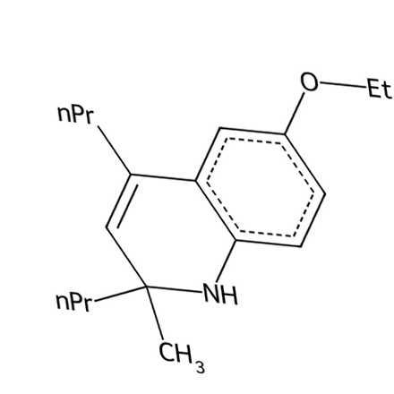 CCCC1=CC(C)(CCC)Nc2ccc(OCC)cc21